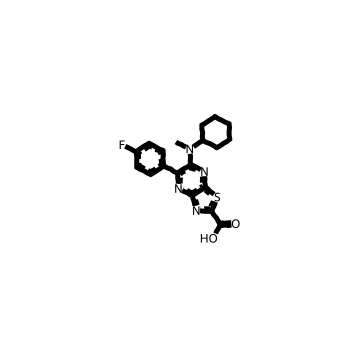 CN(c1nc2sc(C(=O)O)nc2nc1-c1ccc(F)cc1)C1CCCCC1